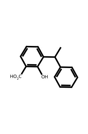 CC(c1ccccc1)c1cccc(C(=O)O)c1O